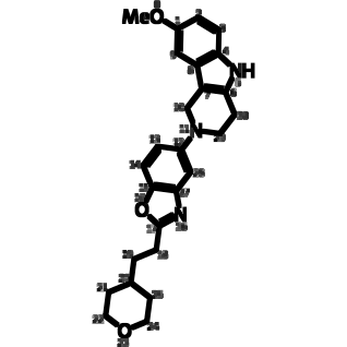 COc1ccc2[nH]c3c(c2c1)CN(c1ccc2oc(CCC4CCOCC4)nc2c1)CC3